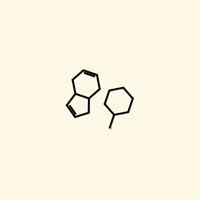 C1=CCC2CC=CC2C1.[CH]C1CCCCC1